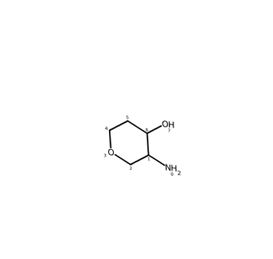 NC1COCCC1O